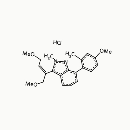 COC/C=C(/COC)c1c2cccc(-c3ccc(OC)cc3C)c2nn1C.Cl